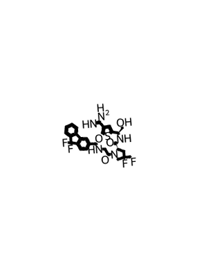 N=C(N)c1csc([C@@H](CO)NC(=O)[C@@H]2C[C@](F)(CF)CN2C(=O)CNC(=O)c2ccc3c(c2)-c2ccccc2C3(F)F)c1